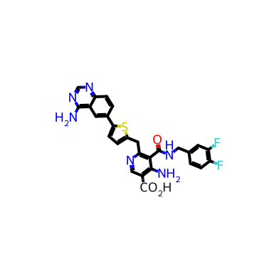 Nc1c(C(=O)O)cnc(Cc2ccc(-c3ccc4ncnc(N)c4c3)s2)c1C(=O)NCc1ccc(F)c(F)c1